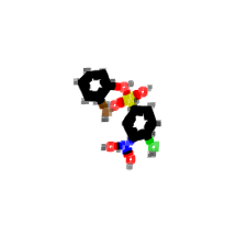 O=[N+]([O-])c1cc(S(=O)(=O)Oc2ccccc2Br)ccc1Cl